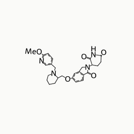 COc1ccc(CN2CCCCC2COc2ccc3c(c2)CN(C2CCC(=O)NC2=O)C3=O)cn1